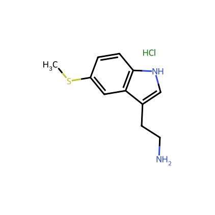 CSc1ccc2[nH]cc(CCN)c2c1.Cl